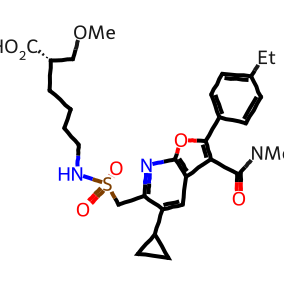 CCc1ccc(-c2oc3nc(CS(=O)(=O)NCCCC[C@@H](COC)C(=O)O)c(C4CC4)cc3c2C(=O)NC)cc1